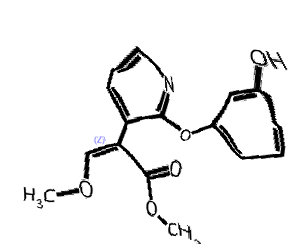 CO/C=C(\C(=O)OC)c1cccnc1Oc1cccc(O)c1